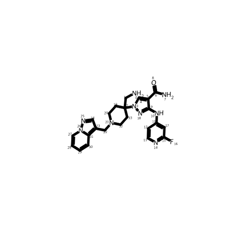 NCC1(n2cc(C(N)=O)c(Nc3ccnc(F)c3)n2)CCN(Cc2cnn3ccccc23)CC1